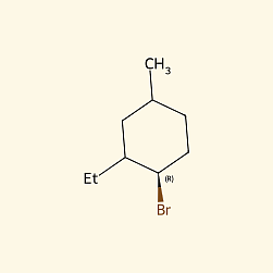 CCC1CC(C)CC[C@H]1Br